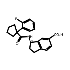 O=C(O)c1ccc2c(c1)[C@H](NC(=O)C1(c3ccccc3F)CCCC1)CC2